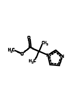 COC(=O)C(C)(C)n1ccnc1